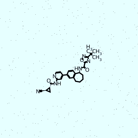 CC(C)(C)c1noc(C(=O)N[C@H]2CCCCc3cc(-c4ccnc(NC(=O)[C@@H]5C[C@H]5C#N)c4)ccc32)n1